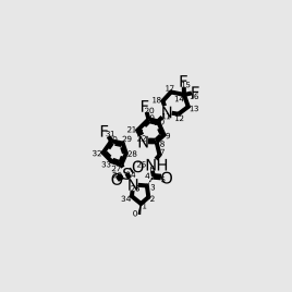 C[C@@H]1C[C@@H](C(=O)NCc2cc(N3CCC(F)(F)CC3)c(F)cn2)N(S(=O)(=O)c2ccc(F)cc2)C1